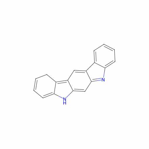 C1=CCc2c([nH]c3cc4c(cc23)-c2ccccc2N=4)=C1